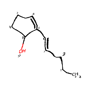 CCCC=CC1=CCCC1O